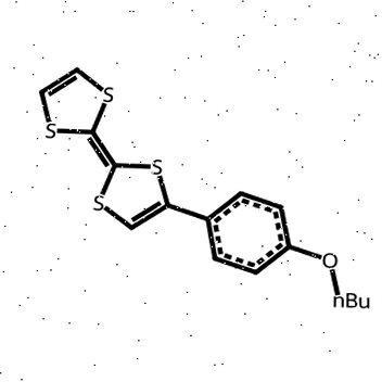 CCCCOc1ccc(C2=CSC(=C3SC=CS3)S2)cc1